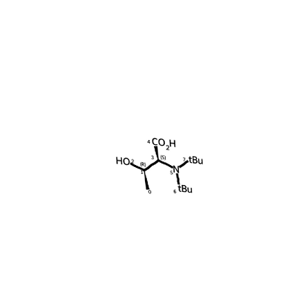 C[C@@H](O)[C@@H](C(=O)O)N(C(C)(C)C)C(C)(C)C